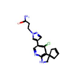 NC(=O)CCn1cc(-c2cnc3c(c2Cl)C2(CC=CC2)CN3)cn1